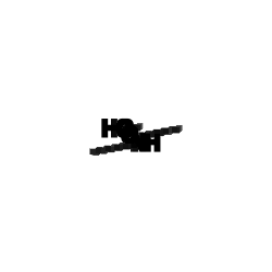 CCCC(=O)O.CCCCCCCCCCCC(C)NC(C)CCCCCCCCCCC